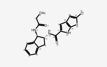 CC(=O)OCC(=O)N[C@@H]1c2ccccc2C[C@H]1NC(=O)c1cc2cc(Cl)sc2[nH]1